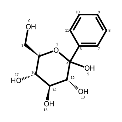 OC[C@H]1OC(O)(c2ccccc2)[C@H](O)[C@@H](O)[C@@H]1O